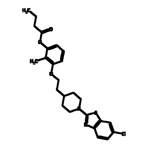 CCCC(=O)Oc1cccc(OCCC2CCN(c3nc4ccc(Cl)cc4s3)CC2)c1C